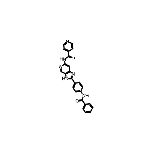 O=C(Nc1ccc(-c2nc3cc(NC(=O)c4ccncc4)ncc3[nH]2)cc1)c1ccccc1